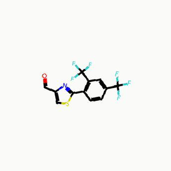 O=Cc1csc(-c2ccc(C(F)(F)F)cc2C(F)(F)F)n1